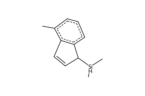 Cc1cccc2c1C=CC2[SiH](C)C